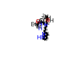 [2H]C([2H])([2H])OCCN(CCCCc1ccc2c(n1)NCCC2)CCC(NC(=O)C(CC)CC)C(=O)O